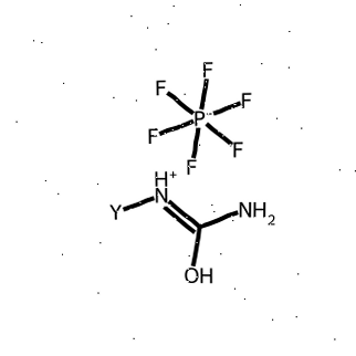 F[P-](F)(F)(F)(F)F.NC(O)=[NH+][Y]